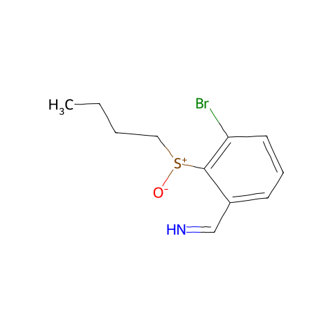 CCCC[S+]([O-])c1c(Br)cccc1C=N